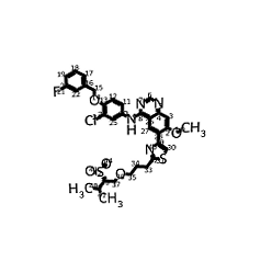 COc1cc2ncnc(Nc3ccc(OCc4cccc(F)c4)c(Cl)c3)c2cc1-c1csc(CCCOCC(C(C)C)=S(=O)=O)n1